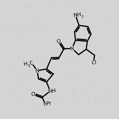 CCCC(=O)Nc1cc(C=CC(=O)N2CC(CCl)c3ccc(N)cc32)n(C)c1